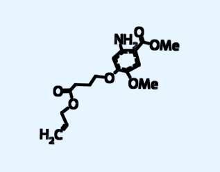 C=CCOC(=O)CCCOc1cc(N)c(C(=O)OC)cc1OC